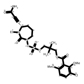 CCN1C(=O)N(OS(=O)(=O)OCC(C)(C)COC(=O)c2c(OC)ccc(Cl)c2OC)CCC[C@H]1C#CC(N)=O